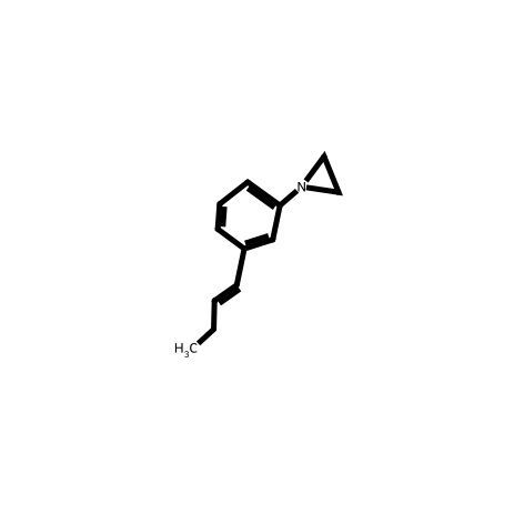 CCC=Cc1cccc(N2CC2)c1